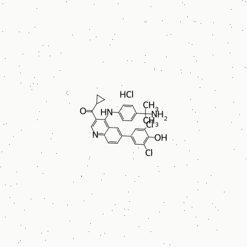 CC(C)(N)c1ccc(Nc2c(C(=O)C3CC3)cnc3ccc(-c4cc(Cl)c(O)c(Cl)c4)cc23)cc1.Cl